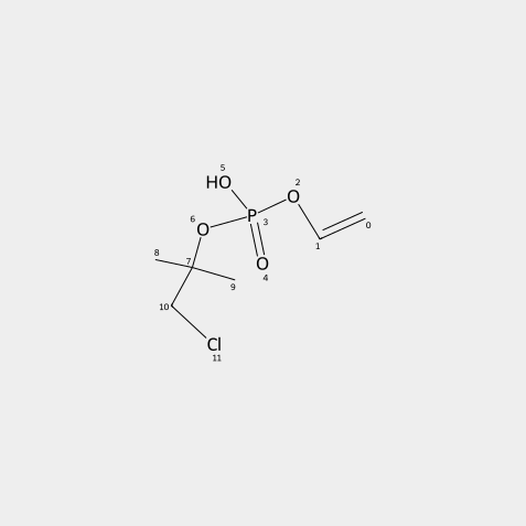 C=COP(=O)(O)OC(C)(C)CCl